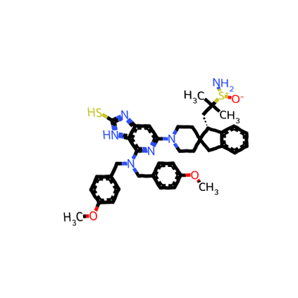 COc1ccc(CN(Cc2ccc(OC)cc2)c2nc(N3CCC4(CC3)Cc3ccccc3[C@H]4CC(C)(C)[S+](N)[O-])cc3nc(S)[nH]c23)cc1